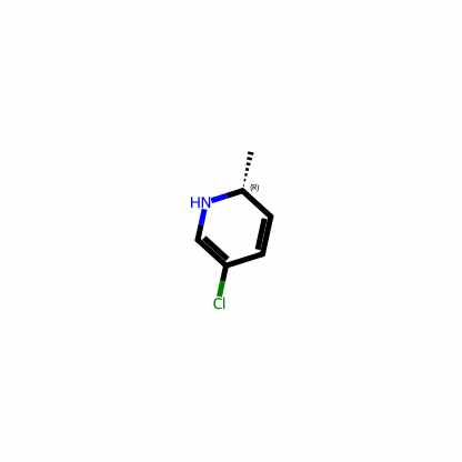 C[C@@H]1C=CC(Cl)=CN1